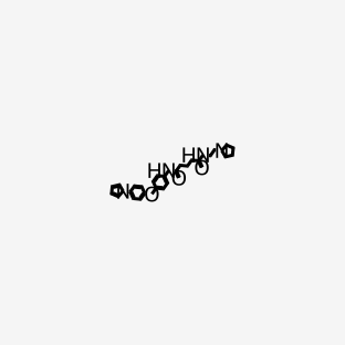 O=C(CCCC(=O)Nc1ccc(Oc2ccc(-n3cccc3)cc2)cc1)NCCN1CCCC1